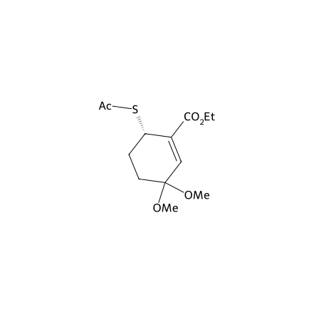 CCOC(=O)C1=CC(OC)(OC)CC[C@@H]1SC(C)=O